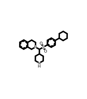 O=S(=O)(c1ccc(C2CCCCC2)cc1)C(C1CCNCC1)N1CCc2ccccc2C1